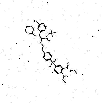 CCNc1ccc(S(=O)(=O)c2ccc(CCNC(C(=O)OC(C)(C)C)[C@H](OC3CCCCO3)c3cccc(Cl)c3)cc2)cc1C(=O)OCC